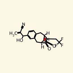 C=C(C#N)C(O)c1ccc2c(c1)C[C@H]1CC[C@@H](C2)[C@]12CN(CC(F)(F)F)S(=O)(=O)N2